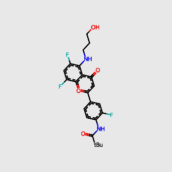 CC(C)(C)C(=O)Nc1ccc(-c2cc(=O)c3c(NCCCO)c(F)cc(F)c3o2)cc1F